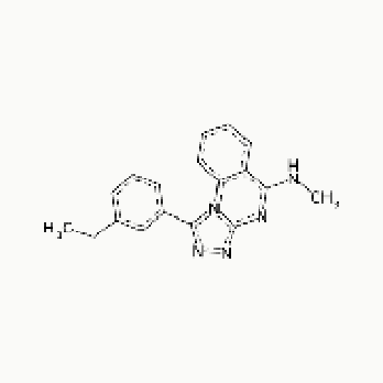 CCc1cccc(-c2nnc3nc(NC)c4ccccc4n23)c1